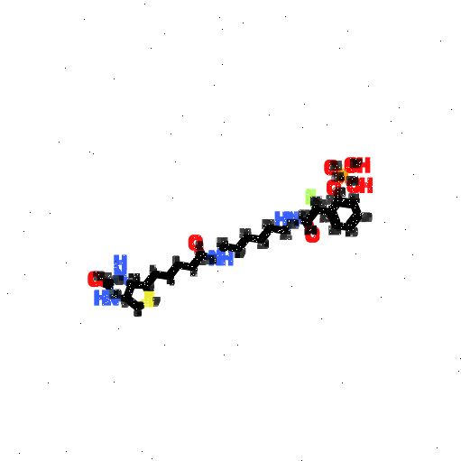 O=C(CCCCC1SCC2NC(=O)NC21)NCCCCCCNC(=O)C(F)c1ccccc1OP(=O)(O)O